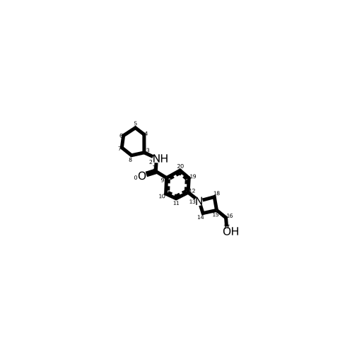 O=C(NC1CCCCC1)c1ccc(N2CC(CO)C2)cc1